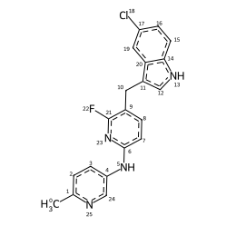 Cc1ccc(Nc2ccc(Cc3c[nH]c4ccc(Cl)cc34)c(F)n2)cn1